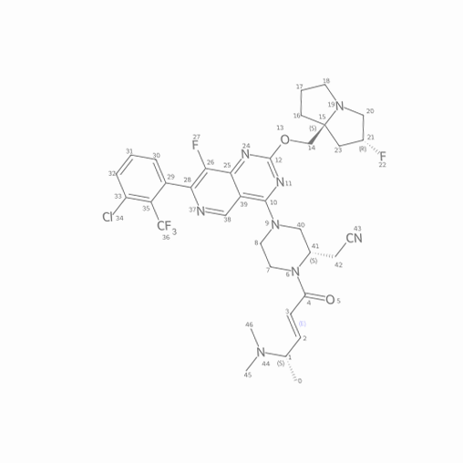 C[C@@H](/C=C/C(=O)N1CCN(c2nc(OC[C@@]34CCCN3C[C@H](F)C4)nc3c(F)c(-c4cccc(Cl)c4C(F)(F)F)ncc23)C[C@@H]1CC#N)N(C)C